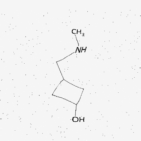 CNCC1CC(O)C1